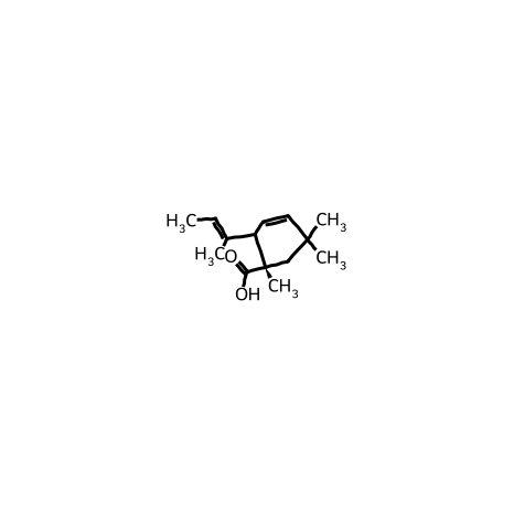 C/C=C(\C)C1C=CC(C)(C)C[C@]1(C)C(=O)O